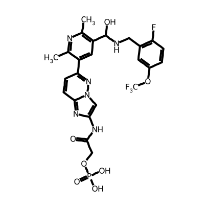 Cc1nc(C)c(C(O)NCc2cc(OC(F)(F)F)ccc2F)cc1-c1ccc2nc(NC(=O)COP(=O)(O)O)cn2n1